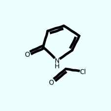 O=CCl.O=c1cccc[nH]1